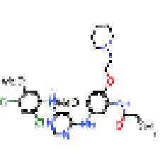 C=CC(=O)Nc1cc(Nc2cc(Nc3cc(OC)c(Cl)cc3Cl)ncn2)c(OC)cc1OCCN1CCCCC1